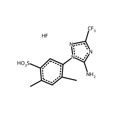 Cc1cc(C)c(S(=O)(=O)O)cc1-n1nc(C(F)(F)F)nc1N.F